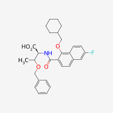 CC(OCc1ccccc1)[C@H](NC(=O)c1ccc2cc(F)ccc2c1OCC1CCCCC1)C(=O)O